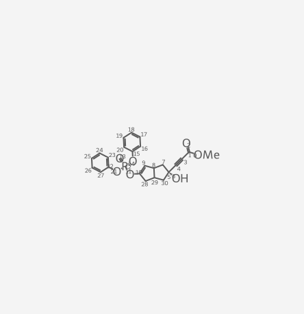 COC(=O)C#C[C@@]1(O)CC2C=C(OP(=O)(Oc3ccccc3)Oc3ccccc3)CC2C1